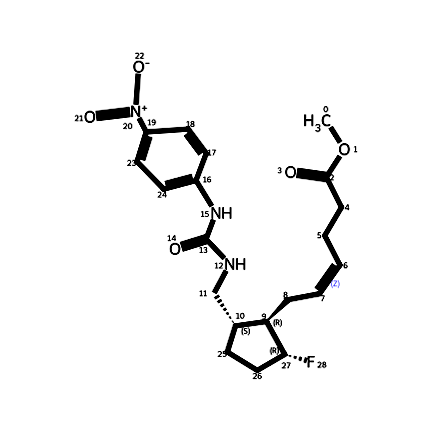 COC(=O)CC/C=C\C[C@@H]1[C@@H](CNC(=O)Nc2ccc([N+](=O)[O-])cc2)CC[C@H]1F